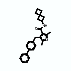 Cc1sc(C)c(C(=O)NC2CC3(CCC3)C2)c1Cc1ccc(-c2ccccc2)cc1